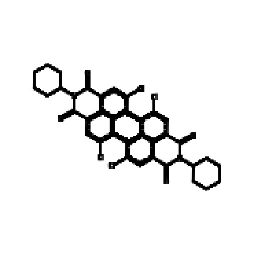 O=C1c2cc(Cl)c3c4c(Cl)cc5c6c(cc(Cl)c(c7c(Cl)cc(c2c37)C(=O)N1C1CCCCC1)c64)C(=O)N(C1CCCCC1)C5=O